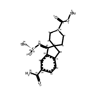 CC(C)(C)OC(=O)N1CCC2(CC1)Cc1ccc(C(N)=O)cc1C2=N[S@+]([O-])C(C)(C)C